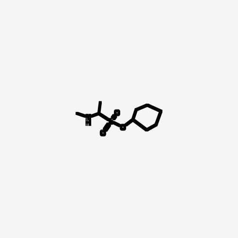 CNC(C)S(=O)(=O)OC1CCCCC1